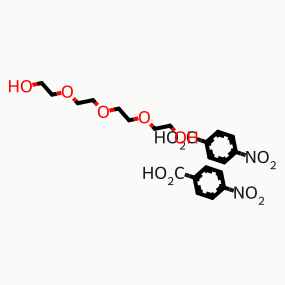 O=C(O)c1ccc([N+](=O)[O-])cc1.O=C(O)c1ccc([N+](=O)[O-])cc1.OCCOCCOCCOCCO